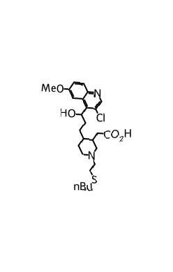 CCCCSCCN1CCC(CCC(O)c2c(Cl)cnc3ccc(OC)cc23)C(CC(=O)O)C1